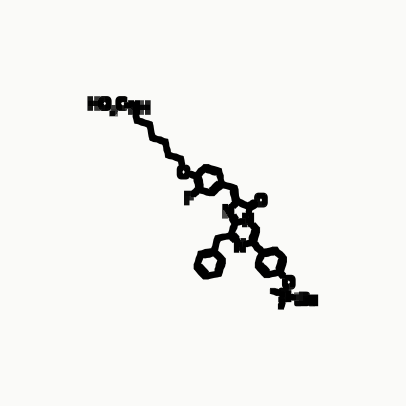 CC(C)(C)[Si](C)(C)Oc1ccc(C2=CN3C(=O)C(=Cc4ccc(OCCCCCCNC(=O)O)c(F)c4)N=C3C(Cc3ccccc3)=N2)cc1